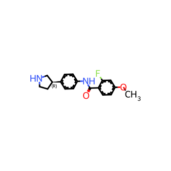 COc1ccc(C(=O)Nc2ccc([C@H]3CCNC3)cc2)c(F)c1